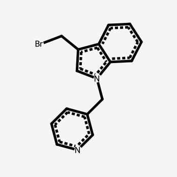 BrCc1cn(Cc2cccnc2)c2ccccc12